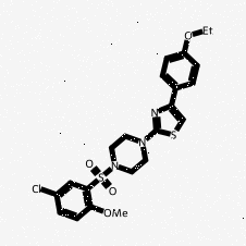 CCOc1ccc(-c2csc(N3CCN(S(=O)(=O)c4cc(Cl)ccc4OC)CC3)n2)cc1